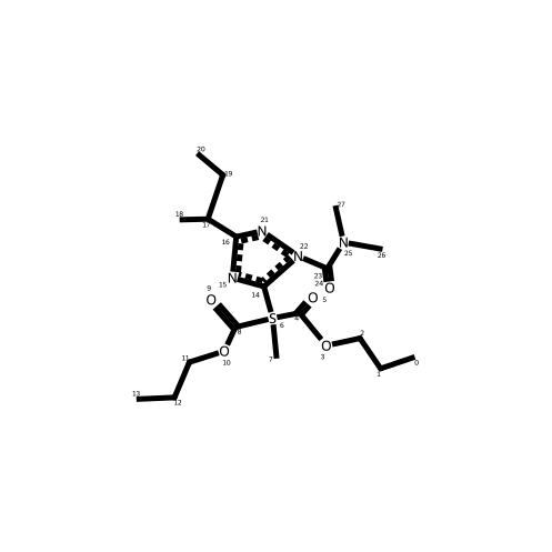 CCCOC(=O)S(C)(C(=O)OCCC)c1nc(C(C)CC)nn1C(=O)N(C)C